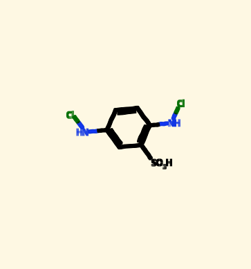 O=S(=O)(O)c1cc(NCl)ccc1NCl